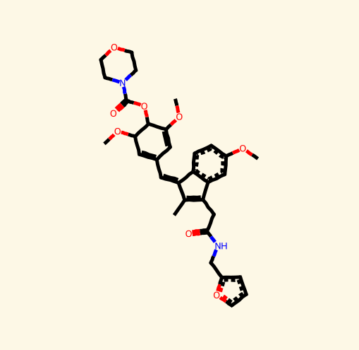 COC1=CC(/C=C2/C(C)=C(CC(=O)NCc3ccco3)c3cc(OC)ccc32)=CC(OC)C1OC(=O)N1CCOCC1